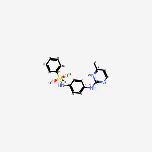 Cc1ccnc(Nc2ccc(NS(=O)(=O)c3ccccc3)cc2)n1